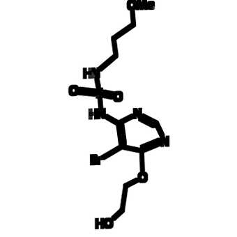 COCCCNS(=O)(=O)Nc1ncnc(OCCO)c1Br